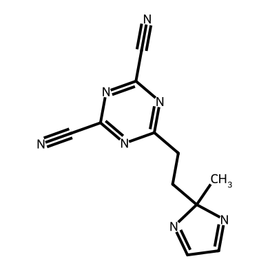 CC1(CCc2nc(C#N)nc(C#N)n2)N=CC=N1